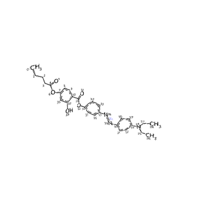 CCCCC(=O)Oc1ccc(C(=O)Oc2ccc(/N=N/c3ccc(N(CC)CC)cc3)cc2)c(O)c1